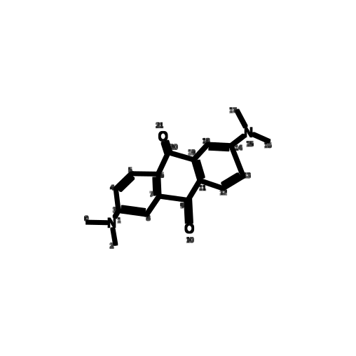 CN(C)c1ccc2c(c1)C(=O)c1ccc(N(C)C)cc1C2=O